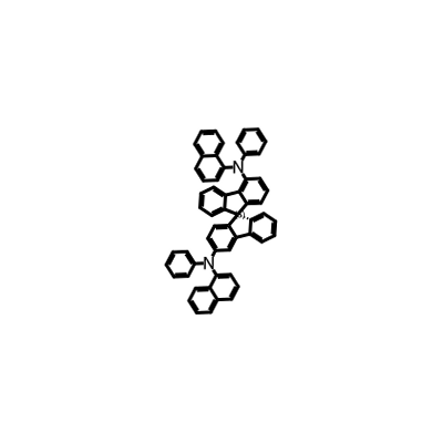 c1ccc(N(c2ccc3c(c2)-c2ccccc2[C@@]32c3ccccc3-c3c(N(c4ccccc4)c4cccc5ccccc45)cccc32)c2cccc3ccccc23)cc1